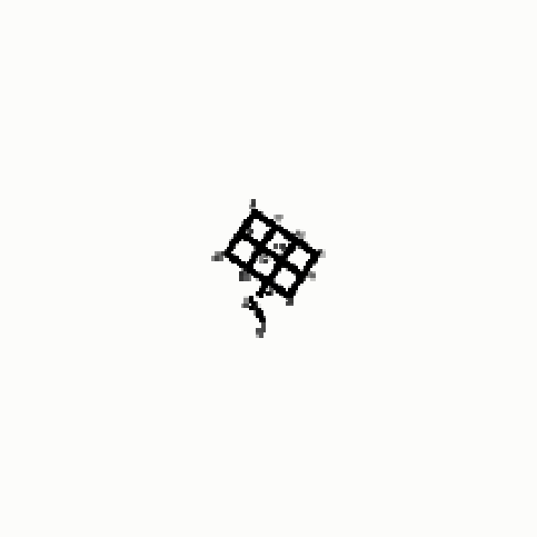 ISC12CC3CC4C5CC6CC1C65C342